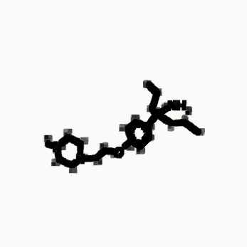 CCCC(N)(CCC)c1ccc(OCCN2CCN(C)CC2)cc1